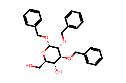 OC[C@H]1O[C@H](OCc2ccccc2)[C@H](OCc2ccccc2)[C@@H](OCc2ccccc2)[C@@H]1O